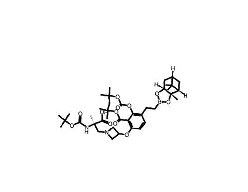 CC(C)(C)OC(=O)N[C@](C)(CN1CC(Oc2ccc(CCB3O[C@@H]4C[C@@H]5C[C@@H](C5(C)C)[C@]4(C)O3)c(OC(=O)OC(C)(C)C)c2C(=O)OC(C)(C)C)C1)C(=O)O